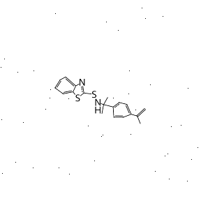 C=C(C)c1ccc(C(C)(C)NSc2nc3ccccc3s2)cc1